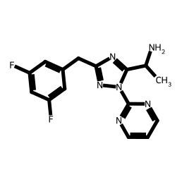 CC(N)c1nc(Cc2cc(F)cc(F)c2)nn1-c1ncccn1